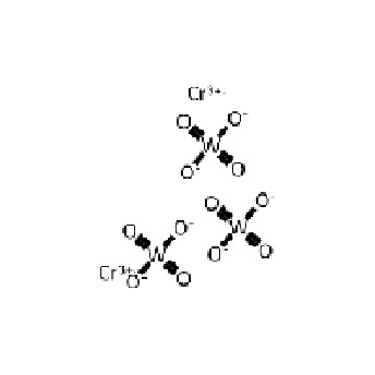 [Cr+3].[Cr+3].[O]=[W](=[O])([O-])[O-].[O]=[W](=[O])([O-])[O-].[O]=[W](=[O])([O-])[O-]